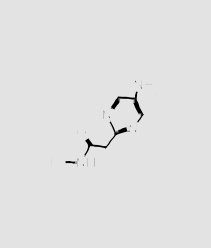 CCNC(=O)Cc1ncc(N)cn1